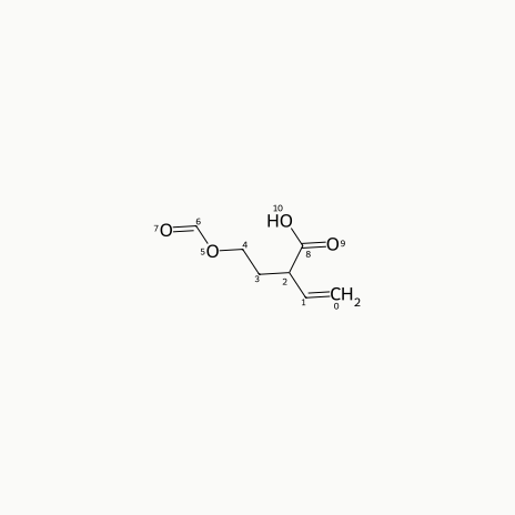 C=CC(CCOC=O)C(=O)O